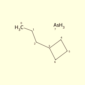 CCCC1CCC1.[AsH3]